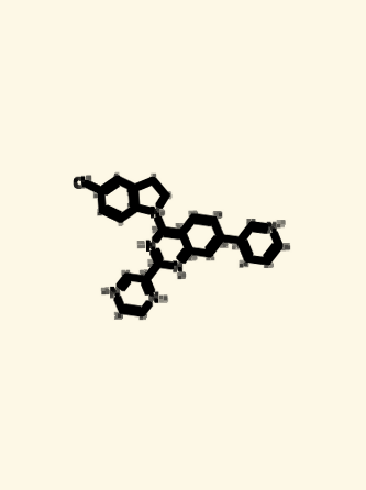 Clc1ccc2c(c1)CCN2c1nc(-c2cnccn2)nc2cc(-c3cccnc3)ccc12